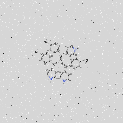 N#Cc1ccc(C(=C2C(=C(c3ccncc3)c3ccc(C#N)cc3)C2=C(c2ccncc2)c2ccc(C#N)cc2)c2ccncc2)cc1